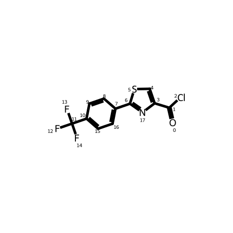 O=C(Cl)c1csc(-c2ccc(C(F)(F)F)cc2)n1